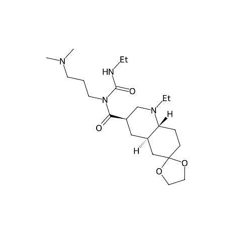 CCNC(=O)N(CCCN(C)C)C(=O)[C@@H]1C[C@@H]2CC3(CC[C@H]2N(CC)C1)OCCO3